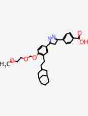 COCCOCOc1ccc(C2=NN=C(c3ccc(C(=O)O)cc3)C2)cc1CCC1CC2CCCC(C2)C1